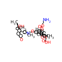 CC#C[C@]1(O)CCC2C3CCC4=CC(=O)CCC4=C3[C@@H](c3ccc(N(C)CCO[C@H]4CC[C@@]5(C)[C@@H](C4)C[C@@H](OC(=O)OCCCN)[C@@H]4[C@@H]5C[C@H](O)[C@]5(C)[C@@H]([C@H](C)CCC(=O)O)CC[C@@H]45)cc3)C[C@@]21C